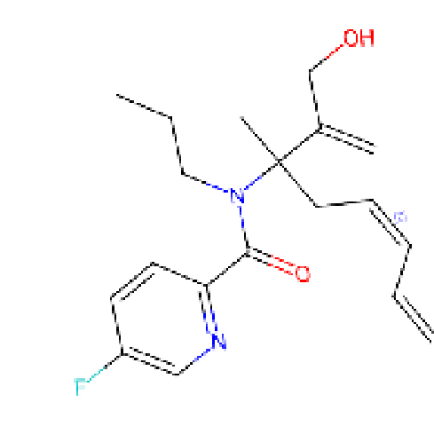 C=C/C=C\CC(C)(C(=C)CO)N(CCC)C(=O)c1ccc(F)cn1